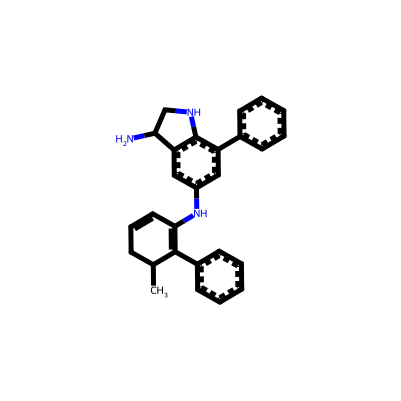 CC1CC=CC(Nc2cc(-c3ccccc3)c3c(c2)C(N)CN3)=C1c1ccccc1